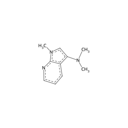 CN(C)c1cn(C)c2ncccc12